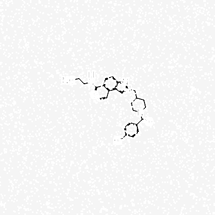 C=Cc1c(C(=O)NCCC#N)ccc2nn(CC3CCN(C(=O)c4ccc(Cl)cc4)CC3)cc12